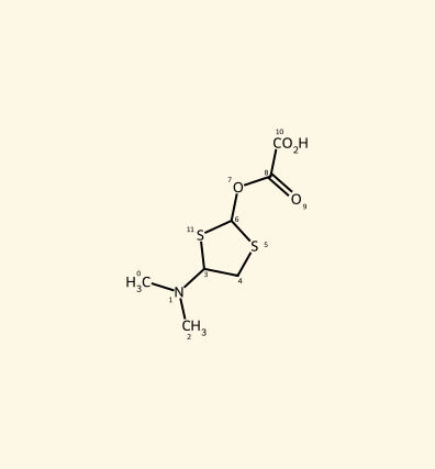 CN(C)C1CSC(OC(=O)C(=O)O)S1